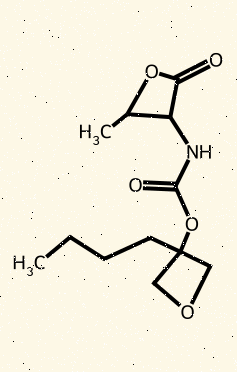 CCCCC1(OC(=O)NC2C(=O)OC2C)COC1